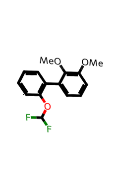 COc1cccc(-c2ccc[c]c2OC(F)F)c1OC